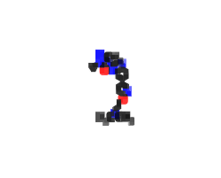 CN(C)CCCOc1ccc(-c2ccc3ncc(N(C)C(=O)NC4CC4)nc3c2)cn1